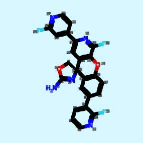 NC1=N[C@@]2(CO1)c1cc(-c3cccnc3F)ccc1Oc1c2cc(-c2ccnc(F)c2)nc1F